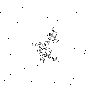 CNC(=O)c1ccccc1Nc1cc(Nc2cc(C)c(N3CCN(Cc4ccncc4N4CCC(=O)NC4=O)CC3)cc2OC(C)C)ncc1C(F)(F)F